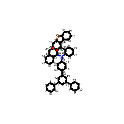 c1ccc(-c2cc(-c3ccccc3)cc(-c3ccc(N(c4ccccc4-c4cccc5sc6ccccc6c45)c4cccc5ccccc45)cc3)c2)cc1